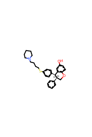 Oc1ccc2c(c1)[C@H](c1ccc(SCCCCN3CCCCC3)cc1)[C@H](c1ccccc1)CO2